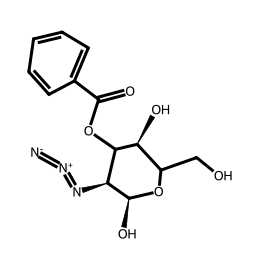 [N-]=[N+]=N[C@H]1C(OC(=O)c2ccccc2)[C@@H](O)C(CO)O[C@H]1O